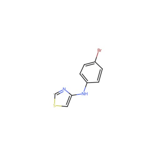 Brc1ccc(Nc2cs[c]n2)cc1